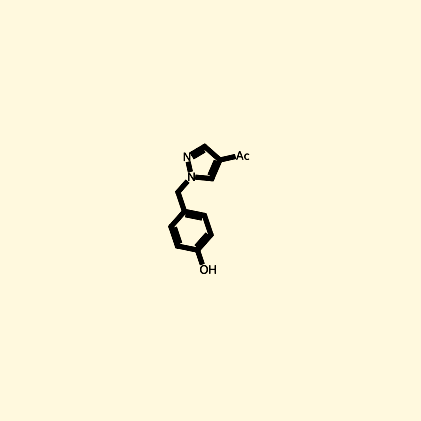 CC(=O)c1cnn(Cc2ccc(O)cc2)c1